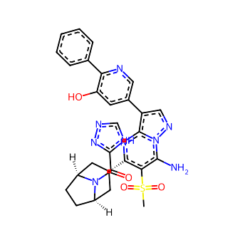 CS(=O)(=O)c1c([C@@H]2C[C@H]3CC[C@@H](C2)N3C(=O)c2nnc[nH]2)nc2c(-c3cnc(-c4ccccc4)c(O)c3)cnn2c1N